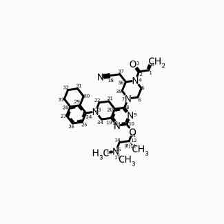 C=CC(=O)N1CCN(c2nc(O[C@H](C)CN(C)C)nc3c2CCN(c2cccc4c2CCCC4)C3)CC1CC#N